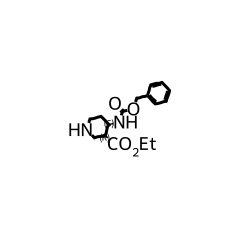 CCOC(=O)[C@@H]1CNCC[C@@H]1NC(=O)OCc1ccccc1